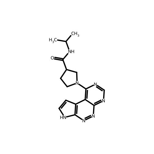 CC(C)NC(=O)C1CCN(c2ncnc3nnc4[nH]ccc4c23)C1